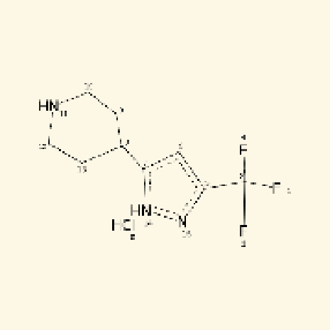 Cl.FC(F)(F)c1cc(C2CCNCC2)[nH]n1